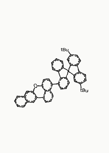 CC(C)(C)c1ccc2c(c1)C1(c3cc(C(C)(C)C)ccc3-2)c2ccccc2-c2c(-c3ccc4c5c(cccc35)-c3cc5ccccc5cc3O4)cccc21